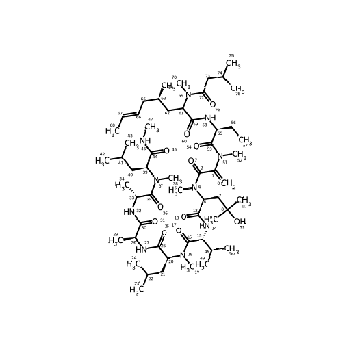 C=C(C(=O)N(C)[C@@H](CC(C)(C)O)C(=O)N[C@@H](C(=O)N(C)[C@@H](CC(C)C)C(=O)N[C@@H](C)C(=O)N[C@H](C)C(=O)N(C)[C@@H](CC(C)C)C(=O)NC)C(C)C)N(C)C(=O)[C@H](CC)NC(=O)C(C[C@H](C)C/C=C/C)N(C)C(=O)CC(C)C